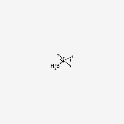 B[Si]1(C)CC1